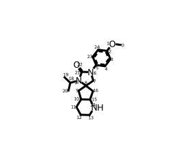 COc1ccc(N2CC3(CC4CCCNC4C3)N(C(C)C)C2=O)cc1